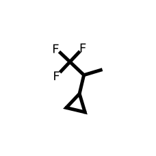 CC(C1CC1)C(F)(F)F